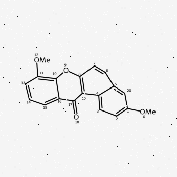 COc1ccc2c(ccc3oc4c(OC)cccc4c(=O)c32)c1